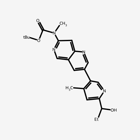 CCC(O)c1cc(C)c(-c2cnc3cc(N(C)C(=O)OC(C)(C)C)ncc3c2)cn1